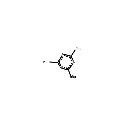 CCCCc1nc(CCCC)nc(CCCC)n1